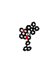 c1ccc(C2(c3ccccc3)c3ccccc3-c3c(N(c4ccc(-c5ccc(-c6cccc7ccccc67)cc5)cc4)c4ccccc4-c4cccc5cccc(C6CCCCC6)c45)cccc32)cc1